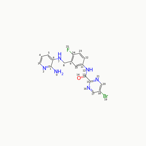 Nc1ncccc1NCc1cc(NC(=O)c2ncc(Br)cn2)ccc1F